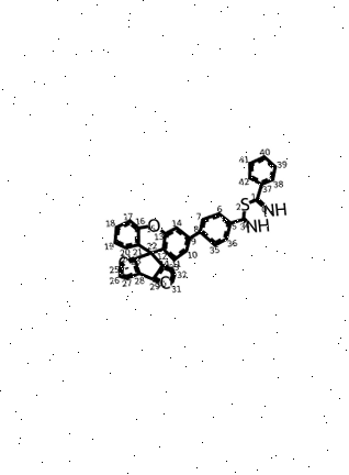 N=C(SC(=N)c1ccc(-c2ccc3c(c2)Oc2ccccc2C32c3ccccc3-c3ccccc32)cc1)c1ccccc1